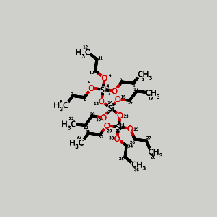 CCCO[Si](OCCC)(OCCC)O[Si](OCCC)(OCCC)O[Si](OCCC)(OCCC)OCCC